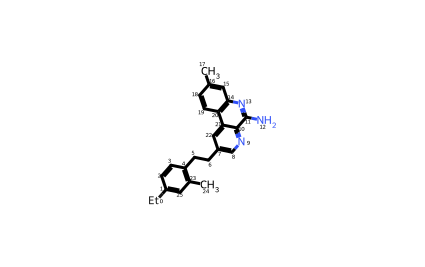 CCc1ccc(CCc2cnc3c(N)nc4cc(C)ccc4c3c2)c(C)c1